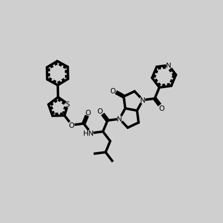 CC(C)CC(NC(=O)Oc1ccc(-c2ccccc2)s1)C(=O)N1CCC2C1C(=O)CN2C(=O)c1ccncc1